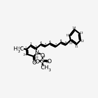 Cc1cc(C=CC=CC=Cc2ccccc2)n(OS(C)(=O)=O)c(=O)c1